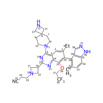 CCc1cc2c(N3CCC4(CC3)CNC4)nc(C3CN(CCC#N)C3)nc2c(OCC(F)(F)F)c1-c1c(C)ccc2[nH]ncc12